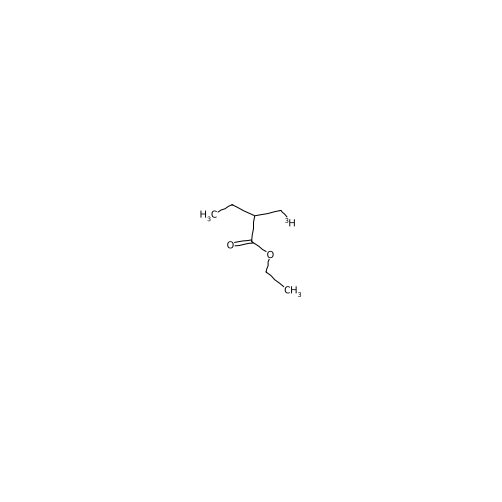 [3H]CC(CC)C(=O)OCC